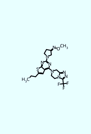 CCCc1cc2c(N3CCn4c(nnc4C(F)(F)F)C3)nc(N3CCC(=NOC)C3)nc2s1